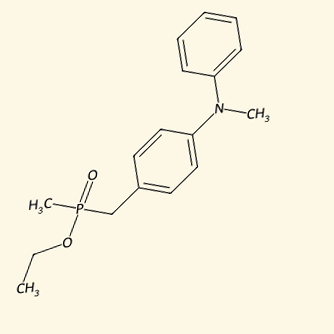 CCOP(C)(=O)Cc1ccc(N(C)c2ccccc2)cc1